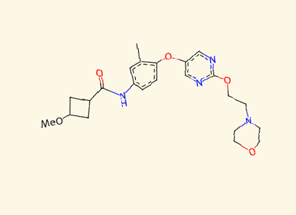 COC1CC(C(=O)Nc2ccc(Oc3cnc(OCCN4CCOCC4)nc3)c(C)c2)C1